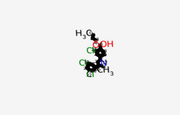 CCCCOC(O)c1ccc(C2=NCC(C)(c3cc(Cl)cc(Cl)c3)C2)cc1Cl